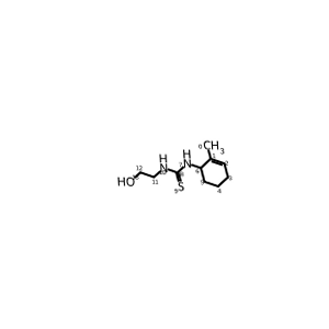 CC1=CCCCC1NC(=S)NCCO